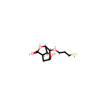 O=C1OC2C(OCCCS)C3CC1C2O3